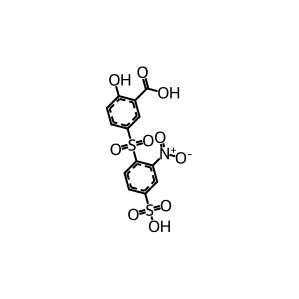 O=C(O)c1cc(S(=O)(=O)c2ccc(S(=O)(=O)O)cc2[N+](=O)[O-])ccc1O